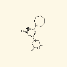 C=C1CN(c2cc(N3CCCCCC3)[nH]c(=O)c2)CC(C)O1